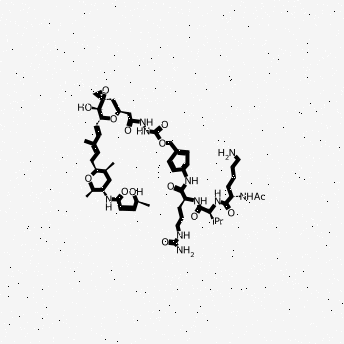 CC(=O)N[C@@H](CCCCN)C(=O)N[C@H](C(=O)N[C@@H](CCCNC(N)=O)C(=O)Nc1ccc(COC(=O)NNC(=O)C[C@@H]2C[C@@]3(CO3)[C@H](O)[C@@H](/C=C/C(C)=C/C[C@@H]3O[C@H](C)[C@H](NC(=O)/C=C\[C@H](C)O)C[C@@H]3C)O2)cc1)C(C)C